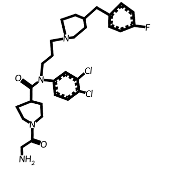 NCC(=O)N1CCC(C(=O)N(CCCN2CCC(Cc3ccc(F)cc3)CC2)c2ccc(Cl)c(Cl)c2)CC1